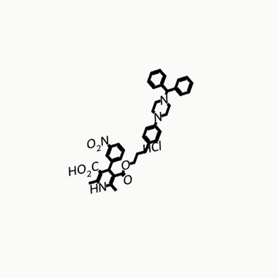 CC1=C(C(=O)O)C(c2cccc([N+](=O)[O-])c2)C(C(=O)OCCCc2ccc(N3CCN(C(c4ccccc4)c4ccccc4)CC3)cc2)=C(C)N1.Cl